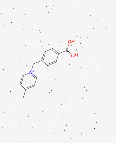 Cc1cc[n+](Cc2ccc(B(O)O)cc2)cc1